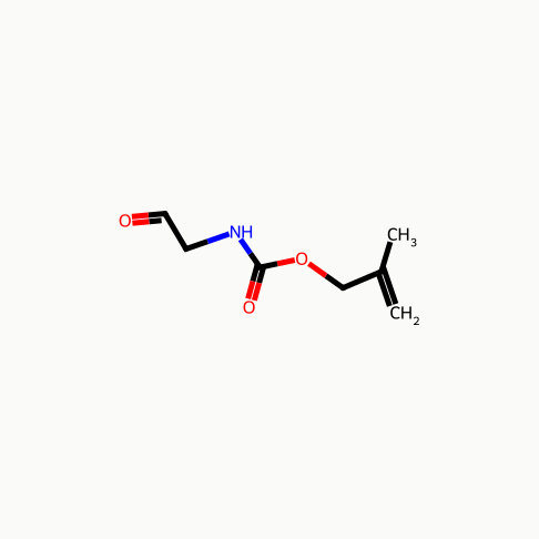 C=C(C)COC(=O)NCC=O